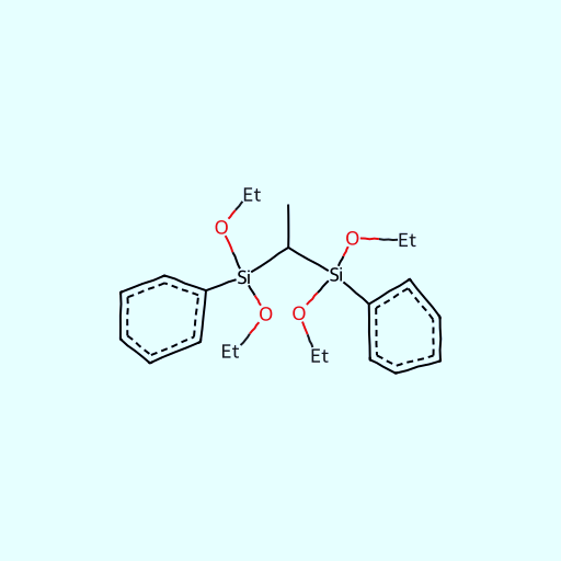 CCO[Si](OCC)(c1ccccc1)C(C)[Si](OCC)(OCC)c1ccccc1